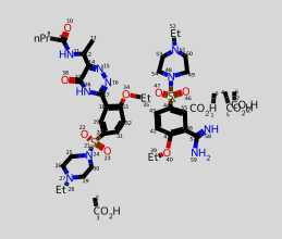 CC(=O)O.CC(=O)O.CC(=O)O.CC(=O)O.CCCC(=O)NC(C)c1nnc(-c2cc(S(=O)(=O)N3CCN(CC)CC3)ccc2OCC)[nH]c1=O.CCOc1ccc(S(=O)(=O)N2CCN(CC)CC2)cc1C(=N)N